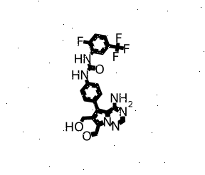 Nc1ncnn2c(C=O)c(CO)c(-c3ccc(NC(=O)Nc4cc(C(F)(F)F)ccc4F)cc3)c12